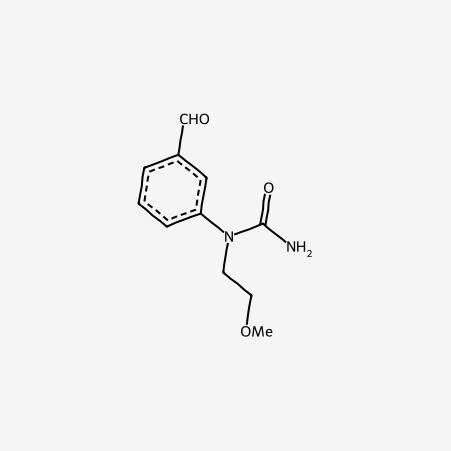 COCCN(C(N)=O)c1cccc(C=O)c1